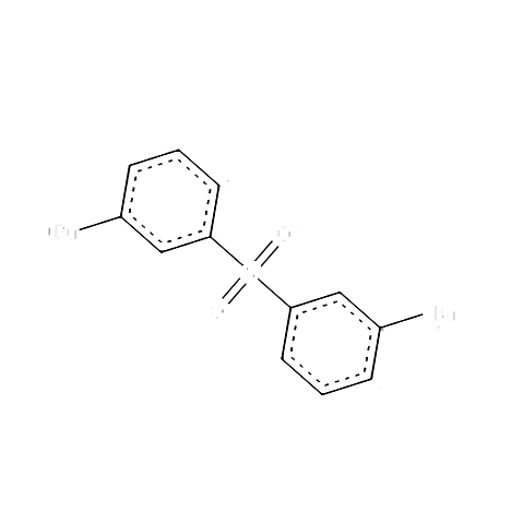 CC(C)(C)c1cccc(S(=O)(=O)c2cccc(C(C)(C)C)c2)c1